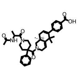 CC(=O)NC(C)C(=O)N1CCC(C(=O)N2CC=C3C(C)(C)C(c4ccc(C(=O)O)cc4)=CC[C@]3(C)C2)(c2ccccc2)CC1